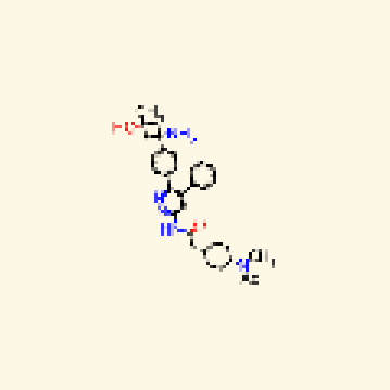 CC(=O)N(C)[C@H]1CC[C@H](CC(=O)Nc2cc(-c3ccccc3)c(-c3ccc(C4(N)CC(C)(O)C4)cc3)nn2)CC1